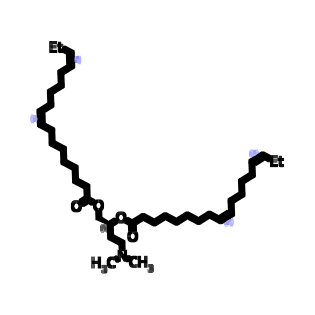 CC/C=C\CCCC/C=C\CCCCCCCC(=O)OC[C@H](CCN(C)C)OC(=O)CCCCCCC/C=C\CCCC/C=C\CC